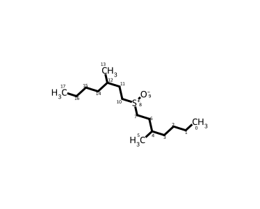 CCCCC(C)CC[S+]([O-])CCC(C)CCCC